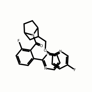 O=C(c1c(F)cccc1-c1ncccn1)N1C2CCC1C(COc1ccc(F)cn1)C2